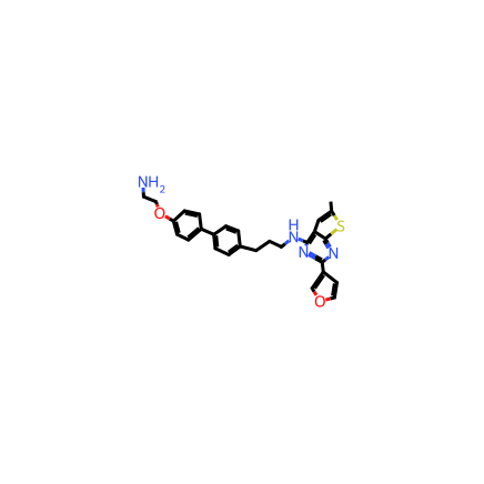 Cc1cc2c(NCCCc3ccc(-c4ccc(OCCN)cc4)cc3)nc(-c3ccoc3)nc2s1